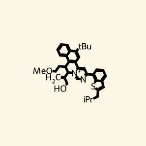 C=C(CO)C1C(CCOC)c2c(cc(C(C)(C)C)c3ccccc23)-c2cc(-c3cccc4cc(CC(C)C)sc34)nc[n+]21